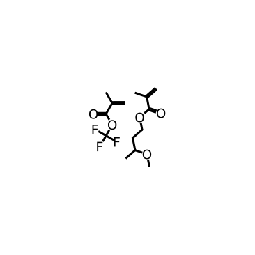 C=C(C)C(=O)OC(F)(F)F.C=C(C)C(=O)OCCC(C)OC